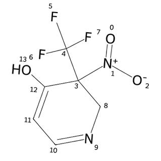 O=[N+]([O-])C1(C(F)(F)F)CN=CC=C1O